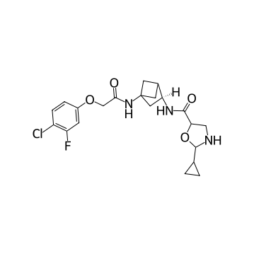 O=C(COc1ccc(Cl)c(F)c1)NC12CC(C1)[C@@H](NC(=O)C1CNC(C3CC3)O1)C2